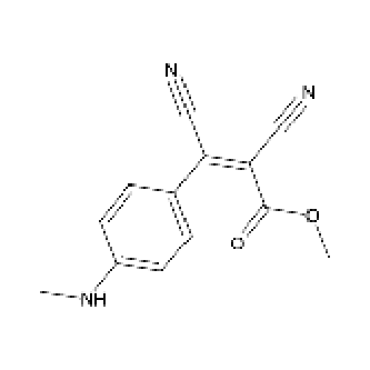 CNc1ccc(C(C#N)=C(C#N)C(=O)OC)cc1